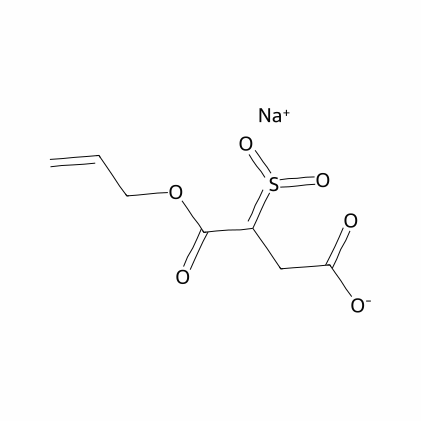 C=CCOC(=O)C(CC(=O)[O-])=S(=O)=O.[Na+]